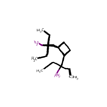 CCC(P)(CC)C1CCC1C(P)(CC)CC